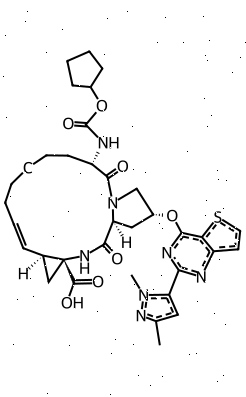 Cc1cc(-c2nc(O[C@@H]3C[C@H]4C(=O)N[C@]5(C(=O)O)C[C@H]5C=CCCCCC[C@H](NC(=O)OC5CCCC5)C(=O)N4C3)c3sccc3n2)n(C)n1